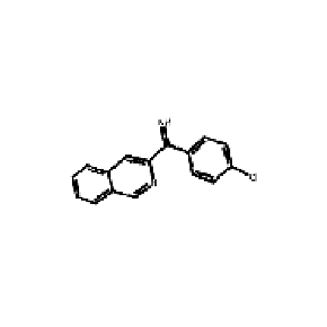 N=C(c1ccc(Cl)cc1)c1cc2ccccc2cn1